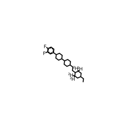 [2H]C1([2H])CC(CC)CC([2H])([2H])C1CCC1CCC(C2CCC(c3ccc(F)c(F)c3)CC2)CC1